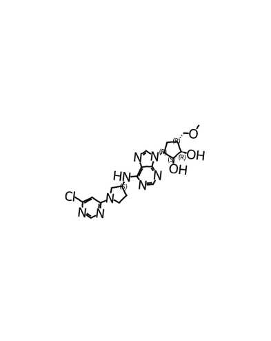 COC[C@H]1C[C@@H](n2cnc3c(N[C@H]4CCN(c5cc(Cl)ncn5)C4)ncnc32)[C@H](O)[C@@H]1O